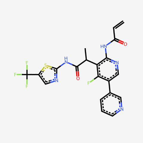 C=CC(=O)Nc1ncc(-c2cccnc2)c(F)c1C(C)C(=O)Nc1ncc(C(F)(F)F)s1